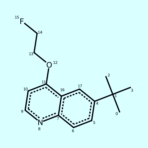 CC(C)(C)c1ccc2nccc(OCCF)c2c1